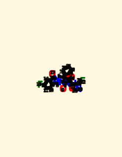 O=C1NC(=O)C(CN2Cc3ccc(F)cc3C2=O)(c2ccccc2OCc2ocnc2CF)N1